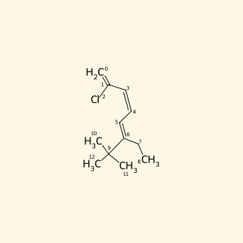 C=C(Cl)/C=C\C=C(/CC)C(C)(C)C